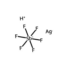 [Ag].[F][Sb-]([F])([F])([F])([F])[F].[H+]